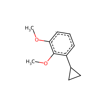 COc1[c]ccc(C2CC2)c1OC